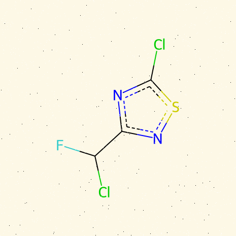 FC(Cl)c1nsc(Cl)n1